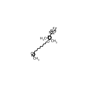 Cc1cc(CCCCCCCCCOc2c(C)cc(-c3noc(C(F)(F)F)n3)cc2C)on1